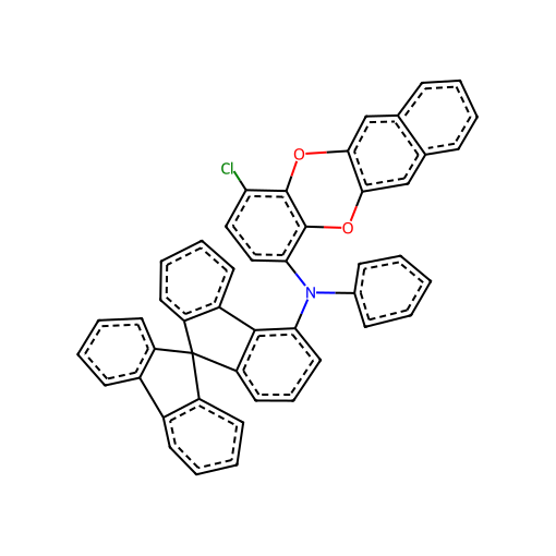 Clc1ccc(N(c2ccccc2)c2cccc3c2-c2ccccc2C32c3ccccc3-c3ccccc32)c2c1Oc1cc3ccccc3cc1O2